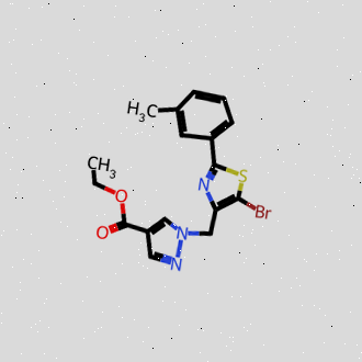 CCOC(=O)c1cnn(Cc2nc(-c3cccc(C)c3)sc2Br)c1